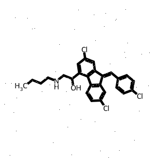 CCCCNCC(O)c1cc(Cl)cc2c1-c1ccc(Cl)cc1C2=Cc1ccc(Cl)cc1